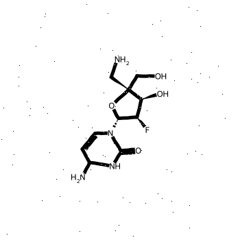 NC[C@]1(CO)O[C@@H](N2C=CC(N)NC2=O)[C@H](F)[C@@H]1O